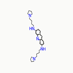 c1cc2cc3ccc(NCCCCN4CCCC4)cc3nc2cc1NCCCCN1CCCC1